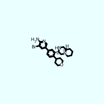 Nc1ncc(-c2ccc(C3CCOCC3)c([C@@H]3CN4CCCC[C@H]4CN3)c2)cc1Br